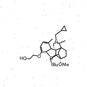 CO[C@@]12CCC3(CC1CC(C)(C)C)C(C)N(CC1CC1)CC[C@]31C3C(C)=CC=C(OCCO)C3OC21